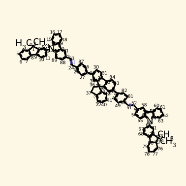 CC1(C)c2ccccc2-c2ccc(-n3c4ccccc4c4cc(/C=C/c5ccc(-c6ccc7c(c6)C6(CCc8ccccc86)c6cc(-c8ccc(/C=C/c9ccc%10c(c9)c9ccccc9n%10-c9ccc%10c(c9)C(C)(C)C9C=CC=CC%109)cc8)ccc6-7)cc5)ccc43)cc21